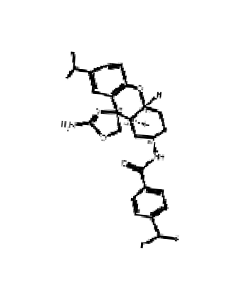 CC(C)c1ccc2c(c1)[C@]1(COC(N)=N1)[C@@H]1C[C@H](NC(=O)c3ccc(C(F)F)cc3)CC[C@H]1O2